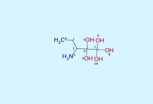 CCC(N)C(O)(O)C(O)(O)O